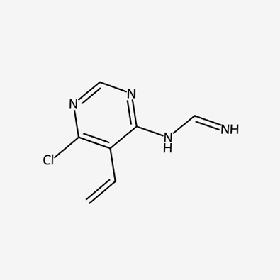 C=Cc1c(Cl)ncnc1NC=N